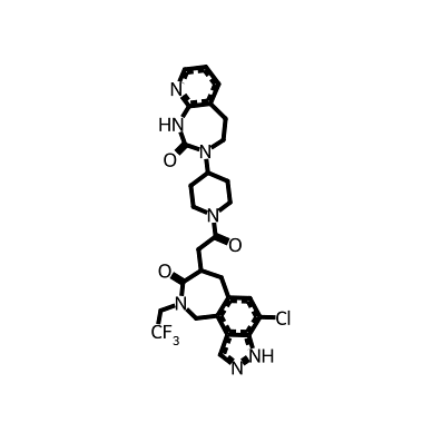 O=C(CC1Cc2cc(Cl)c3[nH]ncc3c2CN(CC(F)(F)F)C1=O)N1CCC(N2CCc3cccnc3NC2=O)CC1